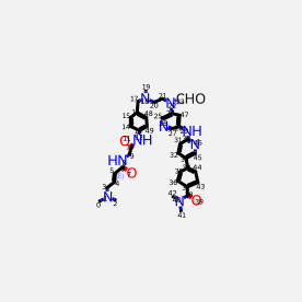 CN(C)C/C=C/C(=O)NCC(=O)Nc1ccc(CN(C)CCN(C=O)c2cncc(Nc3ccc(-c4ccc(C(=O)N(C)C)cc4)cn3)c2)cc1